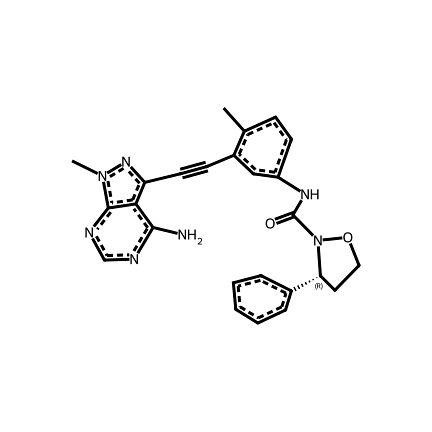 Cc1ccc(NC(=O)N2OCC[C@@H]2c2ccccc2)cc1C#Cc1nn(C)c2ncnc(N)c12